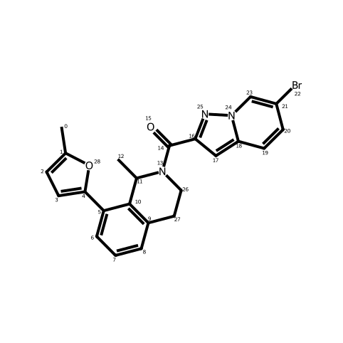 Cc1ccc(-c2cccc3c2C(C)N(C(=O)c2cc4ccc(Br)cn4n2)CC3)o1